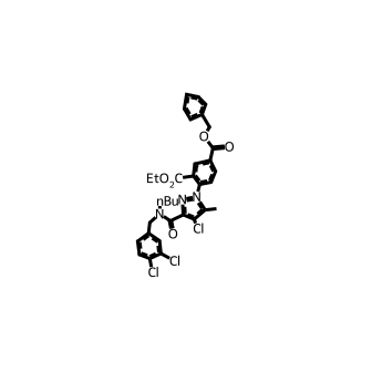 CCCCN(Cc1ccc(Cl)c(Cl)c1)C(=O)c1nn(-c2ccc(C(=O)OCc3ccccc3)cc2C(=O)OCC)c(C)c1Cl